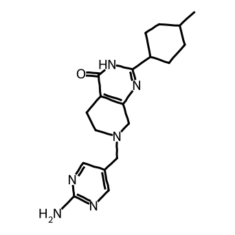 CC1CCC(c2nc3c(c(=O)[nH]2)CCN(Cc2cnc(N)nc2)C3)CC1